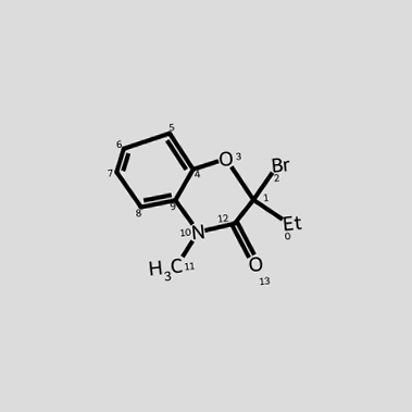 CCC1(Br)Oc2ccccc2N(C)C1=O